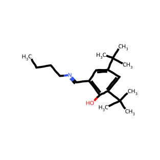 CCCCN=Cc1cc(C(C)(C)C)cc(C(C)(C)C)c1O